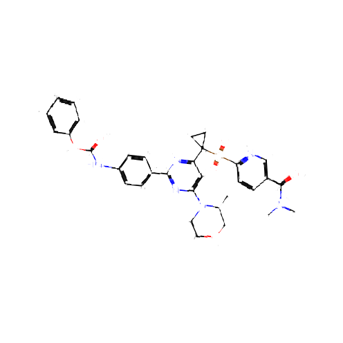 C[C@H]1COCCN1c1cc(C2(S(=O)(=O)c3ccc(C(=O)N(C)C)cn3)CC2)nc(-c2ccc(NC(=O)Oc3ccccc3)cc2)n1